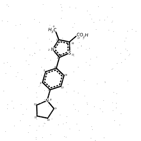 Cc1nc(-c2ccc(N3CCCC3)cc2)sc1C(=O)O